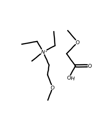 CC[N+](C)(CC)CCOC.COCC(=O)O